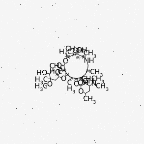 CC[C@H]1OC(=O)[C@H](C)[C@@H](OC2CC(C)(OC)C(O)C(C)O2)[C@H](C)[C@@H](OC2OC(C)CC(N(C)C)C2O)[C@](C)(O)C[C@@H](C)CN[C@H](C)[C@@H](O)[C@]1(C)O